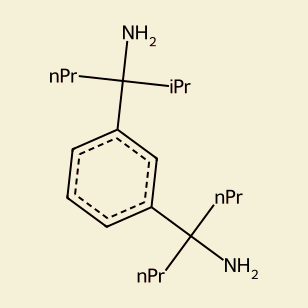 CCCC(N)(CCC)c1cccc(C(N)(CCC)C(C)C)c1